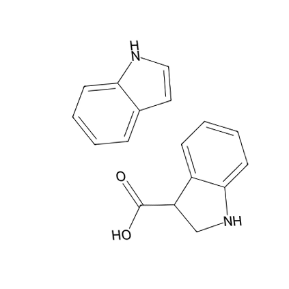 O=C(O)C1CNc2ccccc21.c1ccc2[nH]ccc2c1